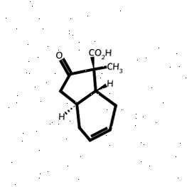 C[C@@]1(C(=O)O)C(=O)C[C@@H]2CC=CC[C@H]21